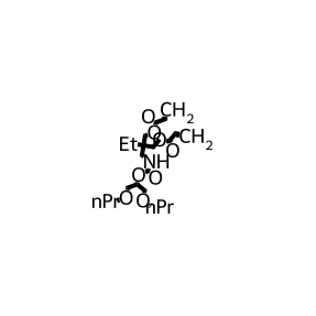 C=CC(=O)OCC(CC)(CNC(=O)OC(COCCC)COCCC)COC(=O)C=C